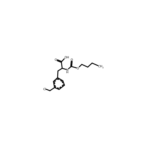 CCCCOC(=O)NC(Cc1cccc(CCl)c1)C(=O)O